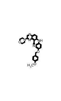 COc1ccc(COc2ccc(Nc3ccc4ncc(N5CCOCC5)nc4c3C#N)cc2)cc1